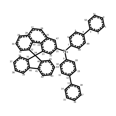 c1ccc(-c2ccc(N(c3ccc(-c4ccccc4)cc3)c3cc4c5c(ccc6cccc(c65)C45c4ccccc4-c4ccccc45)c3)cc2)cc1